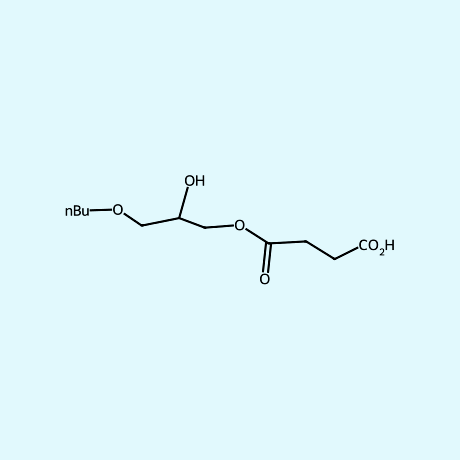 CCCCOCC(O)COC(=O)CCC(=O)O